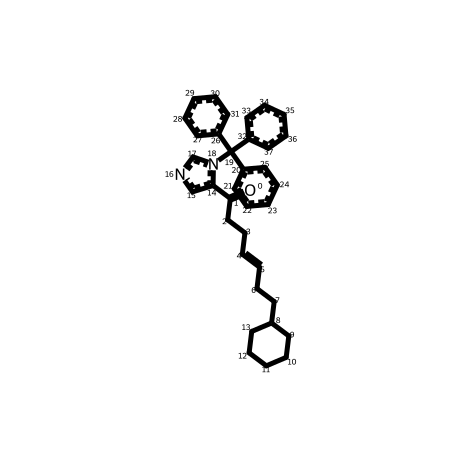 O=C(CCC=CCCC1CCCCC1)c1cncn1C(c1ccccc1)(c1ccccc1)c1ccccc1